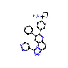 NC1(c2ccc(-c3nc4ccc5nnc(-c6ccnnc6)n5c4cc3-c3ccccc3)cc2)CCC1